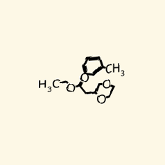 CCOC(=O)CC1COCCO1.Cc1ccccc1